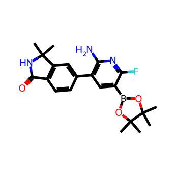 CC1(C)NC(=O)c2ccc(-c3cc(B4OC(C)(C)C(C)(C)O4)c(F)nc3N)cc21